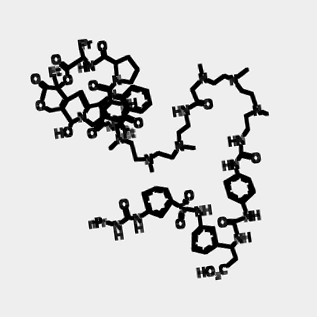 CCCNC(=O)Nc1cccc(S(=O)(=O)Nc2cccc(C(CC(=O)O)NC(=O)Nc3ccc(NC(=O)NCCN(C)CCN(C)CCN(C)CC(=O)NCCN(C)CCN(C)CCN(C)CC(=O)NC(CC(N)=O)C(=O)N4CCCC4C(=O)NC(C(=O)OC4(CC)C(=O)OCC5=C4C=C4c6nc7ccccc7c(CC)c6CN4C5O)C(C)C)cc3)c2)c1